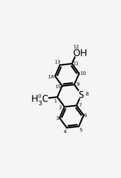 CC1c2ccccc2Sc2cc(O)ccc21